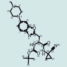 CN1CCN(c2ccc3nc(C[C@H](NC(=O)OC(C)(C)C)C(=O)NC4(C#N)CC4)oc3c2)CC1